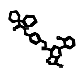 O=C(NCc1ccc(CNc2cc(-c3ccccc3Cl)nc3c(Br)cnn23)cc1)C1(c2ccccc2)CCCCC1